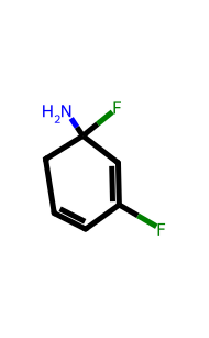 NC1(F)C=C(F)C=CC1